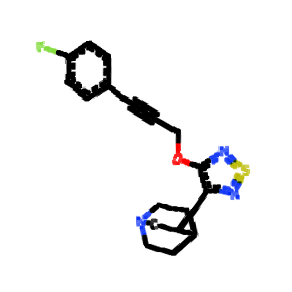 Fc1ccc(C#CCOc2nsnc2C2CN3CCC2CC3)cc1